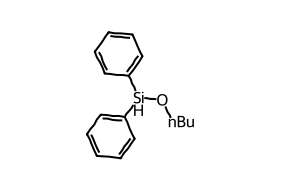 CCCCO[SiH](c1ccccc1)c1ccccc1